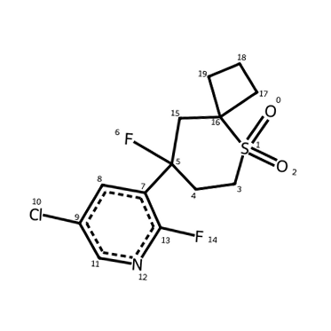 O=S1(=O)CCC(F)(c2cc(Cl)cnc2F)CC12CCC2